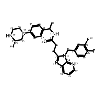 CC(NC(=O)CCc1nc2cccnc2n1Cc1ccc(F)c(F)c1)c1ccc(N2CCN[C@H](C)C2)cc1